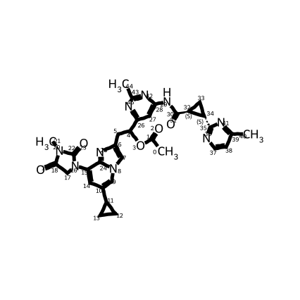 CC(=O)OC(Cc1cn2cc(C3CC3)cc(N3CC(=O)N(C)C3=O)c2n1)c1cc(NC(=O)[C@H]2C[C@@H]2c2nccc(C)n2)nc(C)n1